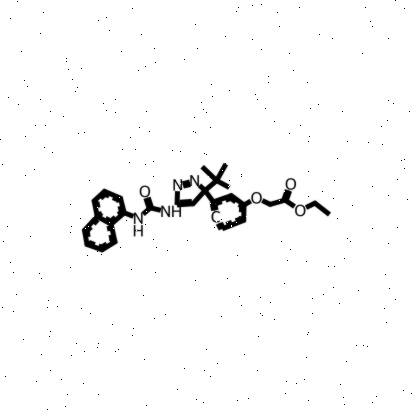 CCOC(=O)COc1cccc(C2(C(C)(C)C)C=C(NC(=O)Nc3cccc4ccccc34)N=N2)c1